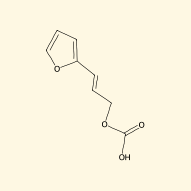 O=C(O)OCC=Cc1ccco1